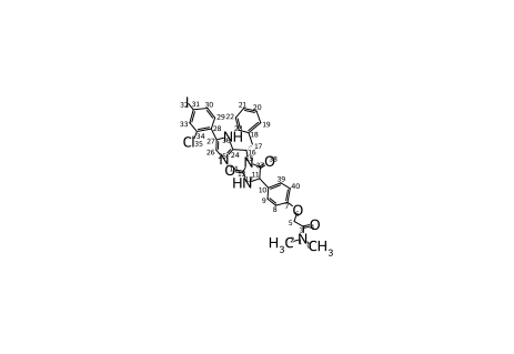 CN(C)C(=O)COc1ccc(C2NC(=O)N([C@@H](Cc3ccccc3)c3ncc(-c4ccc(I)cc4Cl)[nH]3)C2=O)cc1